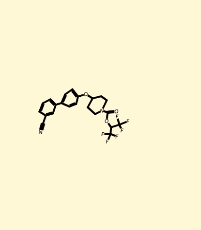 N#Cc1cccc(-c2ccc(OC3CCN(C(=O)OC(C(F)(F)F)C(F)(F)F)CC3)cc2)c1